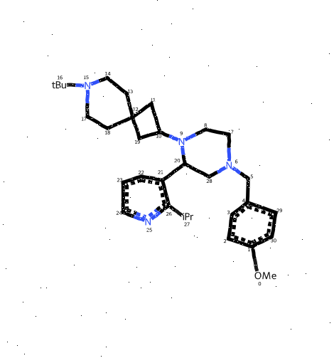 COc1ccc(CN2CCN(C3CC4(CCN(C(C)(C)C)CC4)C3)C(c3cccnc3C(C)C)C2)cc1